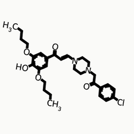 CCCCOc1cc(C(=O)C=CN2CCN(CC(=O)c3ccc(Cl)cc3)CC2)cc(OCCCC)c1O